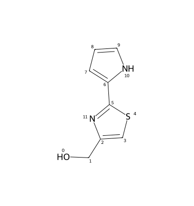 OCc1csc(-c2ccc[nH]2)n1